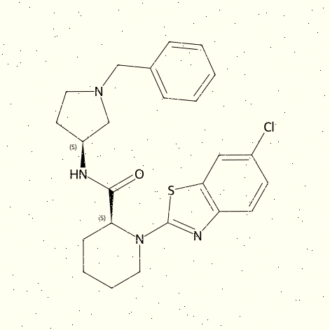 O=C(N[C@H]1CCN(Cc2ccccc2)C1)[C@@H]1CCCCN1c1nc2ccc(Cl)cc2s1